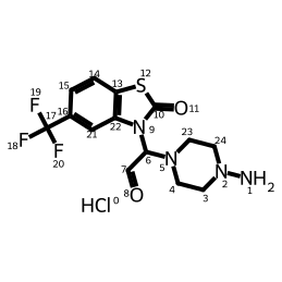 Cl.NN1CCN(C(C=O)n2c(=O)sc3ccc(C(F)(F)F)cc32)CC1